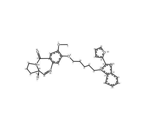 COc1cc2c(cc1OCCCCCn1c(-c3ccco3)nc3ccccc31)N=C[C@@H]1CCCN1C2=O